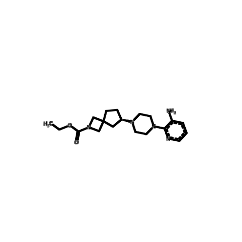 CCOC(=O)N1CC2(CC[C@@H](N3CCN(c4ncccc4N)CC3)C2)C1